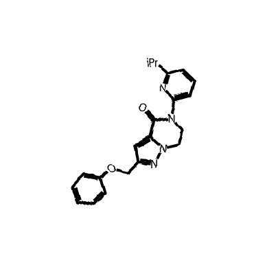 CC(C)c1cccc(N2CCn3nc(COc4ccccc4)cc3C2=O)n1